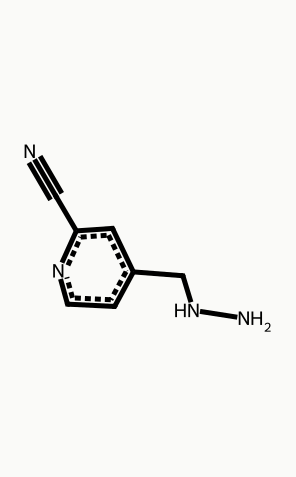 N#Cc1cc(CNN)ccn1